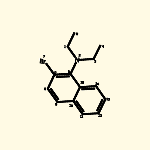 CCN(CC)c1c(Br)ccc2ccccc12